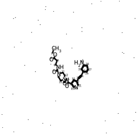 CCOC(=O)CCNC(=O)N1CCS(=O)(=NC(=O)c2cncc(C#Cc3cccc(N)c3)c2)CC1